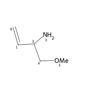 C=CC(N)COC